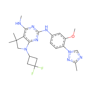 CNc1nc(Nc2ccc(-n3cnc(C)n3)c(OC)c2)nc2c1C(C)(C)CN2C1CC(F)(F)C1